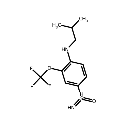 CC(C)CNc1ccc([SH](=N)=O)cc1OC(F)(F)F